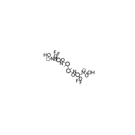 Cc1c(-c2nc3cc(CN[C@H]4CCC[C@H]4O)c(OC(F)F)cc3o2)cccc1-c1cccc(-c2nc3cc(CN4CCC[C@H]4C(=O)O)c(OC(F)F)cc3o2)c1C